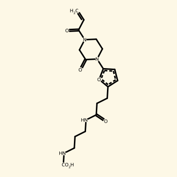 C=CC(=O)N1CCN(c2ccc(CCC(=O)NCCCNC(=O)O)o2)C(=O)C1